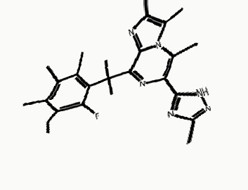 Cc1n[nH]c(-c2nc(C(C)(C)c3c(C)c(C)c(C)c(C)c3F)c3nc(C)c(C)n3c2C)n1